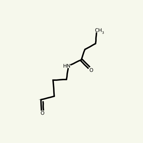 CCCC(=O)NCCC[C]=O